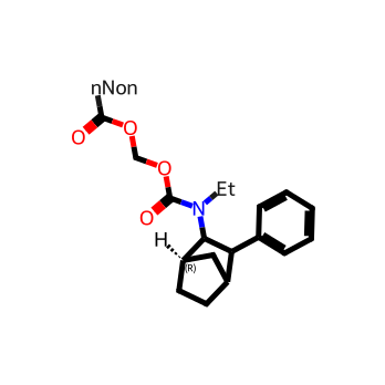 CCCCCCCCCC(=O)OCOC(=O)N(CC)C1C(c2ccccc2)C2CC[C@@H]1C2